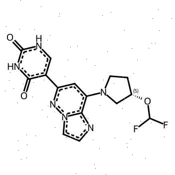 O=c1[nH]cc(-c2cc(N3CC[C@H](OC(F)F)C3)c3nccn3n2)c(=O)[nH]1